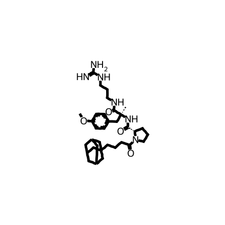 COc1ccc(C[C@](C)(NC(=O)[C@@H]2CCCN2C(=O)CCCC23CC4CC(CC(C4)C2)C3)C(=O)NCCCNC(=N)N)cc1